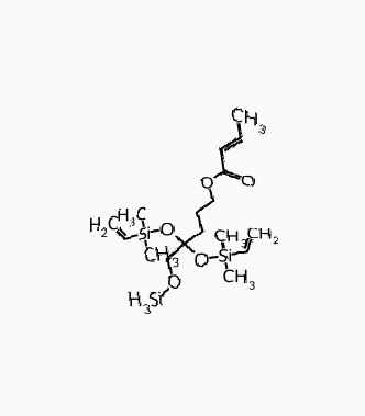 C=C[Si](C)(C)OC(CCCOC(=O)C=CC)(CO[SiH3])O[Si](C)(C)C=C